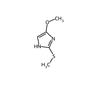 COc1c[nH]c(SC)n1